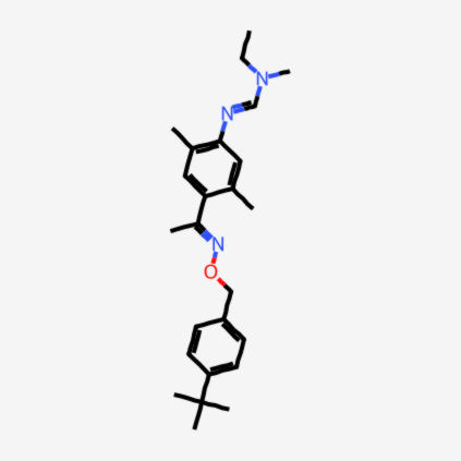 CCN(C)C=Nc1cc(C)c(C(C)=NOCc2ccc(C(C)(C)C)cc2)cc1C